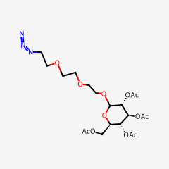 CC(=O)OC[C@H]1OC(OCCOCCOCCN=[N+]=[N-])[C@H](OC(C)=O)[C@@H](OC(C)=O)[C@@H]1OC(C)=O